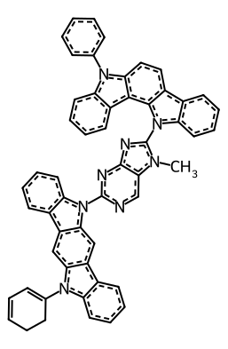 Cn1c(-n2c3ccccc3c3ccc4c(c5ccccc5n4-c4ccccc4)c32)nc2nc(-n3c4ccccc4c4cc5c(cc43)c3ccccc3n5C3=CC=CCC3)ncc21